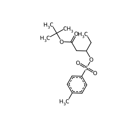 CCC(CC(=O)OC(C)(C)C)OS(=O)(=O)c1ccc(C)cc1